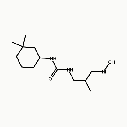 CC(CNO)CNC(=O)NC1CCCC(C)(C)C1